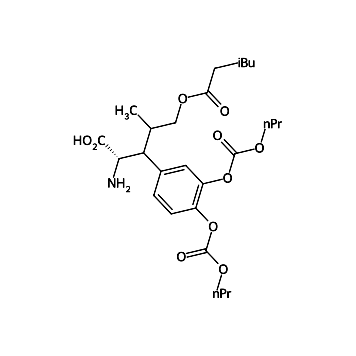 CCCOC(=O)Oc1ccc(C(C(C)COC(=O)CC(C)CC)[C@H](N)C(=O)O)cc1OC(=O)OCCC